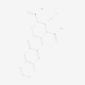 [N-]=[N+]=C1C(C(=N)N)=Cc2cc3cc4ccccc4cc3cc2C1C(=N)N